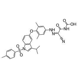 Cc1ccc(S(=O)(=O)n2cc(C(C)C)c3cc(Oc4c(C)cc(N/N=C(/C#N)C(=O)NC(=O)O)cc4C)ccc32)cc1